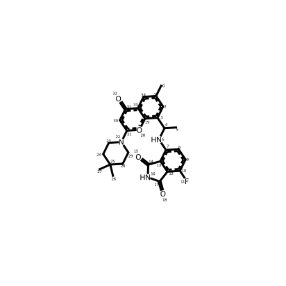 Cc1cc(C(C)Nc2ccc(F)c3c2C(=O)NC3=O)c2oc(N3CCC(C)(C)CC3)cc(=O)c2c1